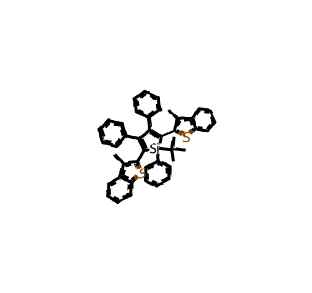 Cc1c(C2=C(c3ccccc3)C(c3ccccc3)=C(c3sc4ccccc4c3C)[Si]2(c2ccccc2)C(C)(C)C)sc2ccccc12